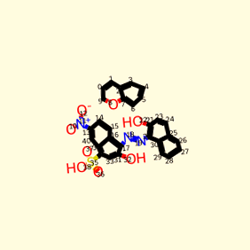 C1=Cc2ccccc2OC1.O=[N+]([O-])c1ccc2c(N=Nc3c(O)ccc4ccccc34)c(O)cc(S(=O)(=O)O)c2c1